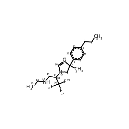 CCCc1ccc(C2(C)CN([C@H](CNCC)C(F)(F)F)C=N2)cc1